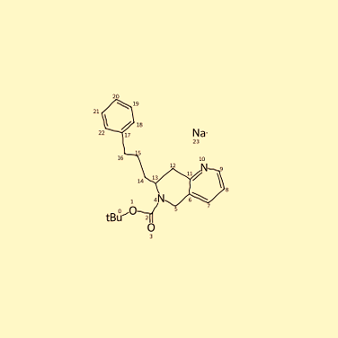 CC(C)(C)OC(=O)N1Cc2cccnc2CC1CCCc1ccccc1.[Na]